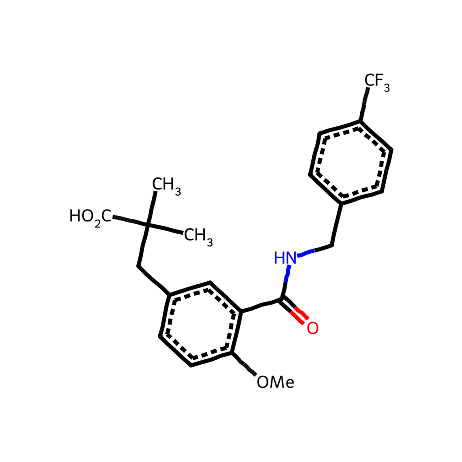 COc1ccc(CC(C)(C)C(=O)O)cc1C(=O)NCc1ccc(C(F)(F)F)cc1